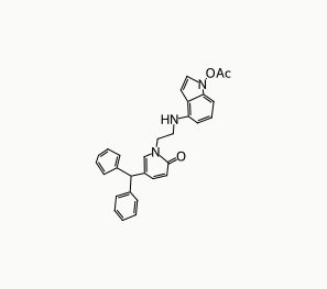 CC(=O)On1ccc2c(NCCn3cc(C(c4ccccc4)c4ccccc4)ccc3=O)cccc21